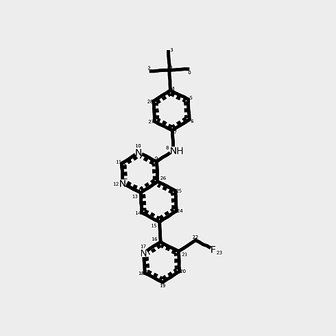 CC(C)(C)c1ccc(Nc2ncnc3cc(-c4ncccc4CF)ccc23)cc1